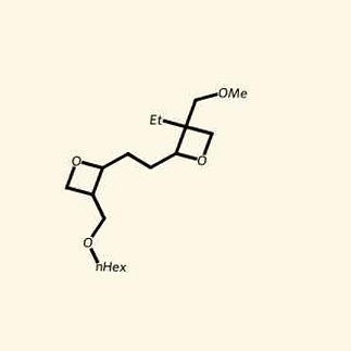 CCCCCCOCC1COC1CCC1OCC1(CC)COC